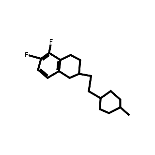 CC1CCC(CCC2CCc3c(ccc(F)c3F)C2)CC1